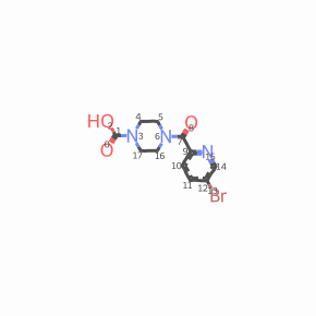 O=C(O)N1CCN(C(=O)c2ccc(Br)cn2)CC1